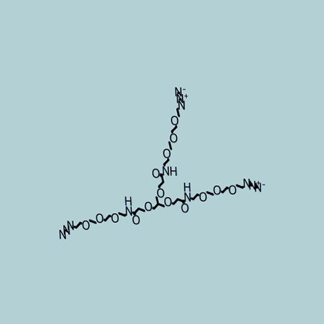 [N-]=[N+]=NCCOCCOCCOCCNC(=O)CCOCC(COCCC(=O)NCCOCCOCCOCCN=[N+]=[N-])COCCC(=O)NCCOCCOCCOCCN=[N+]=[N-]